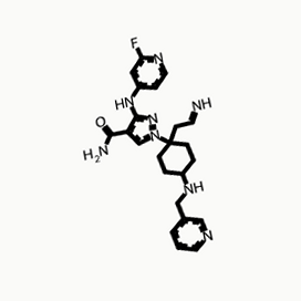 N=CCC1(n2cc(C(N)=O)c(Nc3ccnc(F)c3)n2)CCC(NCc2cccnc2)CC1